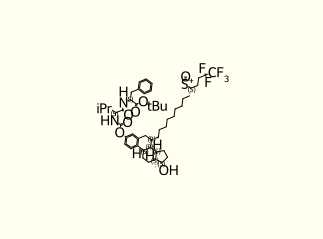 CC(C)[C@H](NC(=O)Oc1ccc2c(c1)C[C@@H](CCCCCCCCC[C@@H](CCC(F)(F)C(F)(F)F)[S+]=O)[C@@H]1[C@@H]2CC[C@]2(C)[C@@H](O)CC[C@@H]12)C(=O)N[C@@H](Cc1ccccc1)C(=O)OC(C)(C)C